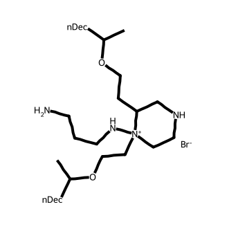 CCCCCCCCCCC(C)OCCC1CNCC[N+]1(CCOC(C)CCCCCCCCCC)NCCCN.[Br-]